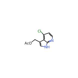 CC(=O)OCc1c[nH]c2nccc(Cl)c12